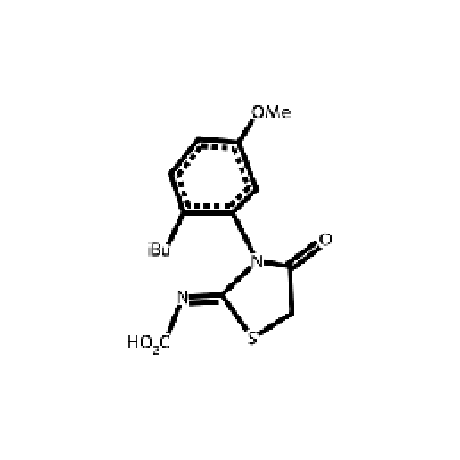 CCC(C)c1ccc(OC)cc1N1C(=O)CSC1=NC(=O)O